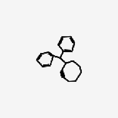 C1#CC(C(c2ccccc2)c2ccccc2)CCCCC1